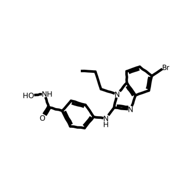 CCCn1c(Nc2ccc(C(=O)NO)cc2)nc2cc(Br)ccc21